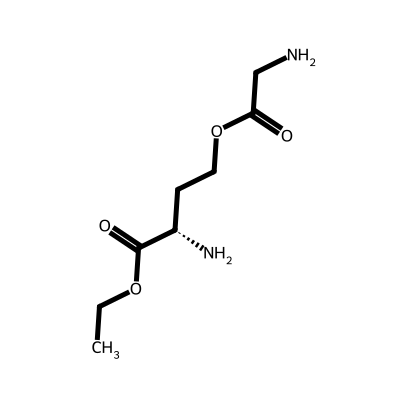 CCOC(=O)[C@@H](N)CCOC(=O)CN